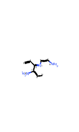 C=CC(=N\C=C/N)/C(N)=C\C